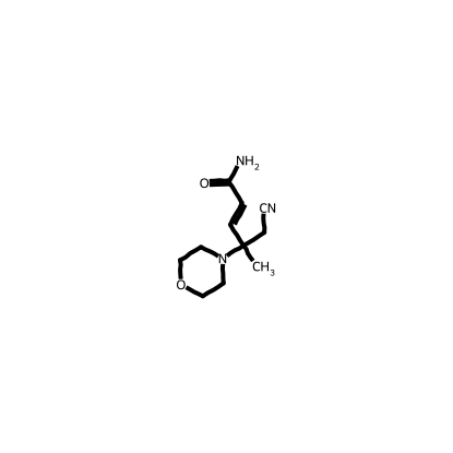 CC(C=CC(N)=O)(CC#N)N1CCOCC1